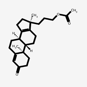 CC(=O)OCCC[C@]1(C)CCC2=C1CC[C@H]1[C@H]2CCC2=CC(=O)CC[C@@]21C